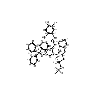 CC(C)(C)OC(=O)CN(Cc1ccccc1)S(=O)(=O)N1CC(SC(c2ccccc2)(c2ccccc2)c2ccccc2)CC1COCc1cc(F)c(F)cc1F